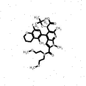 COCCN(CCOC)C(=O)c1cc2c(-c3cc(F)c4c(c3C)CCCO4)c([C@H](OC(C)(C)C)C(=O)O)c(C)nc2n1C